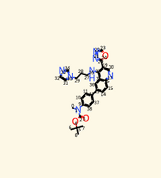 CN(C(=O)OC(C)(C)C)c1ccc(-c2ccc3ncc(-c4nnco4)c(NCCCn4ccnc4)c3c2)cc1